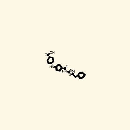 O=C(Nc1nnc(Cc2ccccc2)s1)c1ccc(N[C@H]2CC[C@H](C(=O)O)CC2)cc1